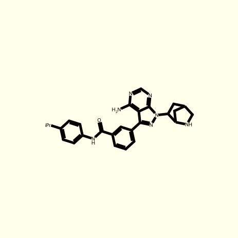 CC(C)c1ccc(NC(=O)c2cccc(-c3nn(C4CC5CNC4C5)c4ncnc(N)c34)c2)cc1